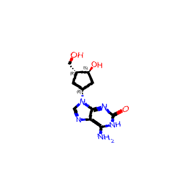 Nc1[nH]c(=O)nc2c1ncn2[C@@H]1C[C@H](CO)[C@@H](O)C1